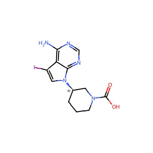 Nc1ncnc2c1c(I)cn2[C@@H]1CCCN(C(=O)O)C1